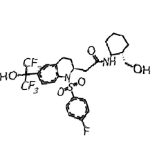 O=C(C[C@@H]1CCc2cc(C(O)(C(F)(F)F)C(F)(F)F)ccc2N1S(=O)(=O)c1ccc(F)cc1)N[C@@H]1CCCC[C@@H]1CO